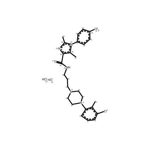 Cc1c(Cl)cccc1N1CCN(CCCNC(=O)c2nc(C)n(-c3ccc(C(F)(F)F)cc3)c2C)CC1.Cl.Cl